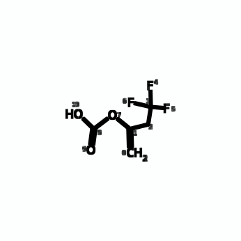 C=C(CC(F)(F)F)OC(=O)O